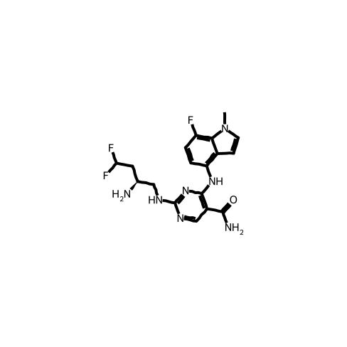 Cn1ccc2c(Nc3nc(NC[C@@H](N)CC(F)F)ncc3C(N)=O)ccc(F)c21